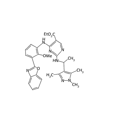 CCOC(=O)c1cnc(NC(C)c2c(C)nn(C)c2C)nc1Nc1cccc(-c2nc3ccccc3o2)c1OC